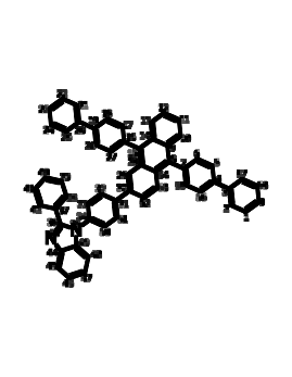 c1ccc(-c2ccc(-c3c4ccccc4c(-c4ccc(-c5ccccc5)cc4)c4cc(-c5ccc(-n6c(-c7ccccc7)nc7ccccc76)cc5)ccc34)cc2)cc1